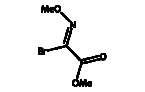 CON=C(Br)C(=O)OC